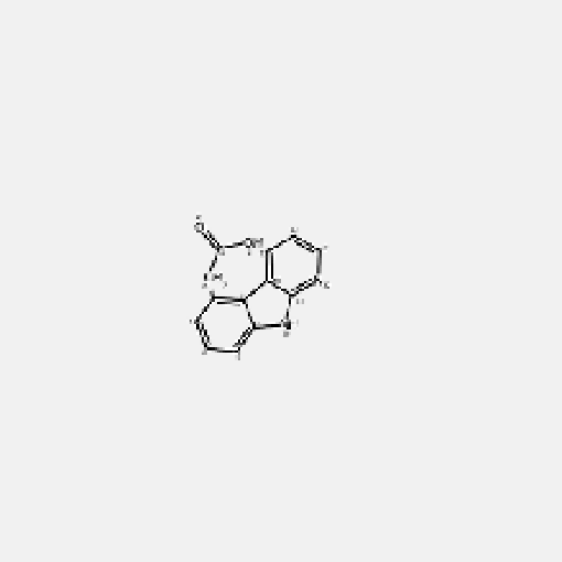 CC(=O)O.c1ccc2c(c1)[nH]c1ncccc12